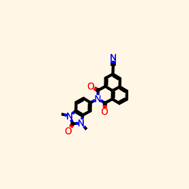 Cn1c(=O)n(C)c2cc(N3C(=O)c4cccc5cc(C#N)cc(c45)C3=O)ccc21